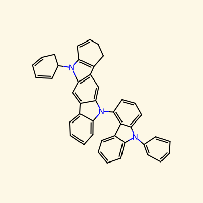 C1=CCC(n2c3c(c4cc5c(cc42)c2ccccc2n5-c2cccc4c2c2ccccc2n4-c2ccccc2)CCC=C3)C=C1